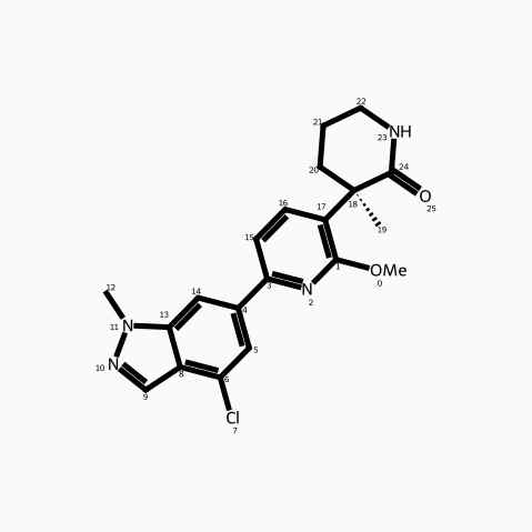 COc1nc(-c2cc(Cl)c3cnn(C)c3c2)ccc1[C@@]1(C)CCCNC1=O